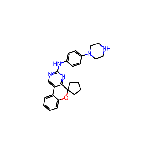 c1ccc2c(c1)OC1(CCCC1)c1nc(Nc3ccc(N4CCNCC4)cc3)ncc1-2